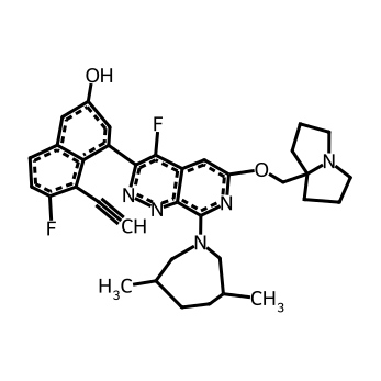 C#Cc1c(F)ccc2cc(O)cc(-c3nnc4c(N5CC(C)CCC(C)C5)nc(OCC56CCCN5CCC6)cc4c3F)c12